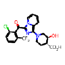 O=C(c1c(Cl)cccc1C(F)(F)F)c1nc(N2CC[C@@H](C(=O)O)[C@H](O)C2)c2ccccn12